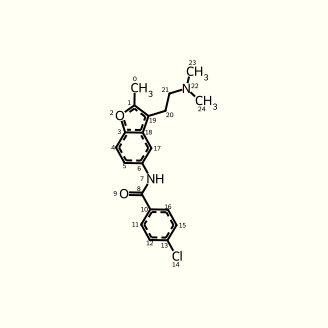 Cc1oc2ccc(NC(=O)c3ccc(Cl)cc3)cc2c1CCN(C)C